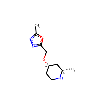 Cc1nnc(CO[C@H]2CCN[C@@H](C)C2)o1